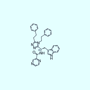 O=C(N[C@H](Cc1c[nH]c2ccccc12)c1nnc(CCc2ccccc2)n1CCc1ccccc1)c1cnccn1